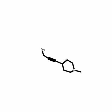 CN1CCC(C#CCO)CC1